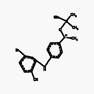 C[C@@H](O[Si](C)(C)C(C)(C)C)c1ccc(Nc2cc(Br)ccc2C#N)cc1